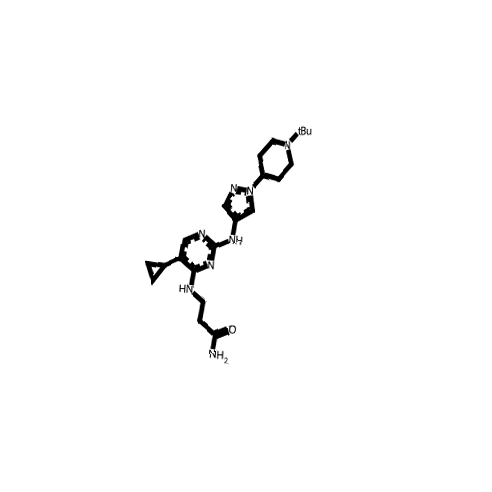 CC(C)(C)N1CCC(n2cc(Nc3ncc(C4CC4)c(NCCC(N)=O)n3)cn2)CC1